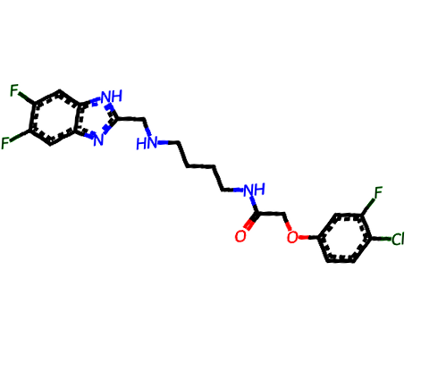 O=C(COc1ccc(Cl)c(F)c1)NCCCCNCc1nc2cc(F)c(F)cc2[nH]1